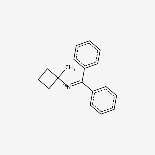 CC1([15N]=C(c2ccccc2)c2ccccc2)CCC1